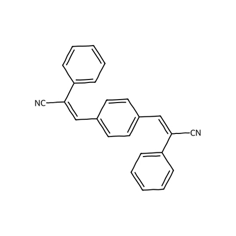 N#CC(=Cc1ccc(C=C(C#N)c2ccccc2)cc1)c1ccccc1